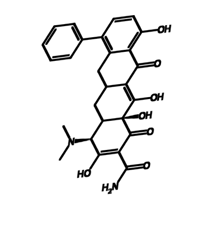 CN(C)[C@@H]1C(O)=C(C(N)=O)C(=O)[C@@]2(O)C(O)=C3C(=O)c4c(O)ccc(-c5ccccc5)c4CC3CC12